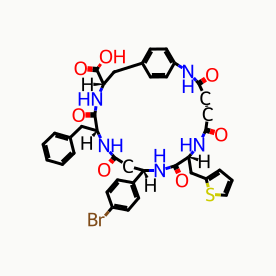 O=C1CCC(=O)N[C@H](Cc2cccs2)C(=O)N[C@H](c2ccc(Br)cc2)CC(=O)N[C@H](Cc2ccccc2)C(=O)N[C@H](C(=O)O)Cc2ccc(cc2)N1